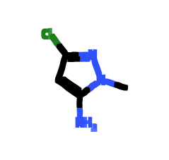 Cn1nc(Cl)cc1N